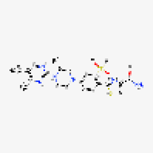 CC(C)C1CN(c2ccc(-c3nc(C(N)=O)cs3)c(S(C)(=O)=O)c2)CCN1c1ncc(C(=O)O)c(C(F)(F)F)n1